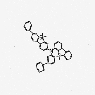 C[Si]1(C)c2cc(-c3ccccc3)ccc2-c2ccc(N(c3cccc(-c4ccccc4)c3)c3cccc4c3[Si](C)(C)c3ccccc3-4)cc21